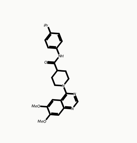 COc1cc2ncnc(N3CCC(C(=O)Nc4ccc(C(C)C)cc4)CC3)c2cc1OC